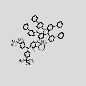 CC(C)(C)c1ccc(N(c2ccc(C(C)(C)C)cc2)c2ccc3c(c2)C2(C)CCCCC2(C)N3c2cc3c4c(c2)N(c2cccc(-c5ccccc5)c2)c2cc(-c5ccccc5)ccc2B4c2ccc(-c4ccccc4)cc2N3c2cccc(-c3ccccc3)c2)cc1